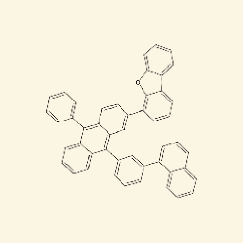 c1ccc(-c2c3ccccc3c(-c3cccc(-c4cccc5ccccc45)c3)c3cc(-c4cccc5c4oc4ccccc45)ccc23)cc1